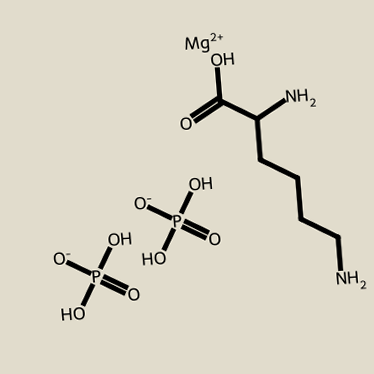 NCCCCC(N)C(=O)O.O=P([O-])(O)O.O=P([O-])(O)O.[Mg+2]